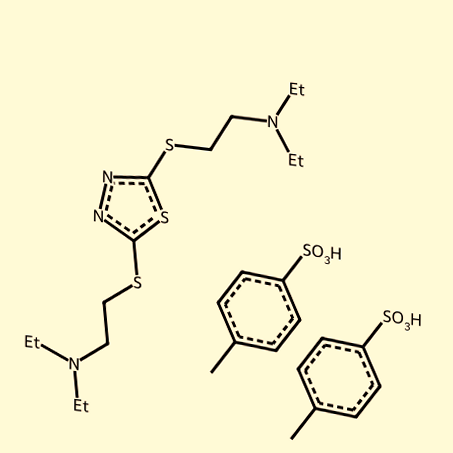 CCN(CC)CCSc1nnc(SCCN(CC)CC)s1.Cc1ccc(S(=O)(=O)O)cc1.Cc1ccc(S(=O)(=O)O)cc1